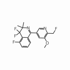 COc1cc(C2=NC(C)(C)C(F)(F)c3c(F)cccc32)cnc1CF